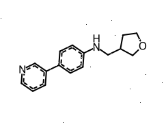 c1cncc(-c2ccc(NCC3CCOC3)cc2)c1